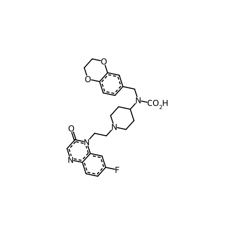 O=C(O)N(Cc1ccc2c(c1)OCCO2)C1CCN(CCn2c(=O)cnc3ccc(F)cc32)CC1